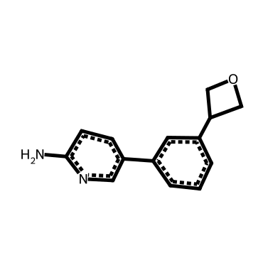 Nc1ccc(-c2cccc(C3COC3)c2)cn1